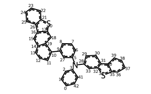 c1ccc(N(c2cccc(-c3cccc4cc5c(cc34)sc3ccccc35)c2)c2ccc3c(c2)sc2ccccc23)cc1